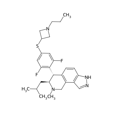 CCCN1CC(Sc2cc(F)c([C@@H]3c4ccc5[nH]ncc5c4CN(C)[C@H]3CC(C)C)c(F)c2)C1